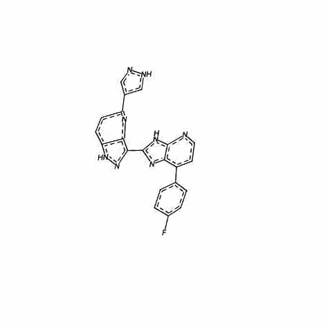 Fc1ccc(-c2ccnc3[nH]c(-c4n[nH]c5ccc(-c6cn[nH]c6)nc45)nc23)cc1